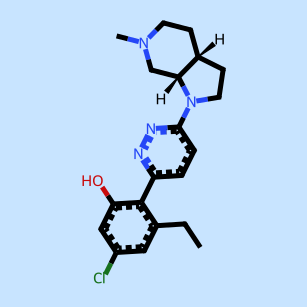 CCc1cc(Cl)cc(O)c1-c1ccc(N2CC[C@H]3CCN(C)C[C@H]32)nn1